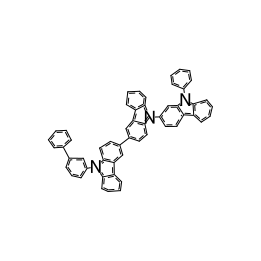 c1ccc(-c2cccc(-n3c4ccccc4c4cc(-c5ccc6c(c5)c5ccccc5n6-c5ccc6c7ccccc7n(-c7ccccc7)c6c5)ccc43)c2)cc1